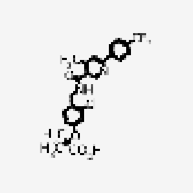 CC(C)(Oc1ccc(CNC(=O)c2cnc(-c3ccc(C(F)(F)F)cc3)cc2C(F)(F)F)c(Cl)c1)C(=O)O